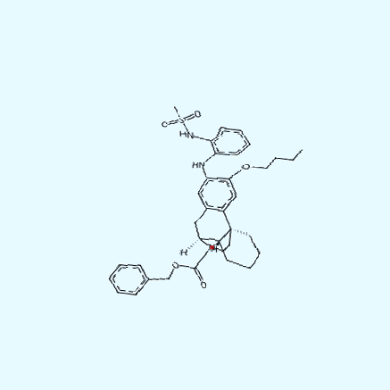 CCCCOc1cc2c(cc1Nc1ccccc1NS(C)(=O)=O)C[C@H]1[C@H]3CCCC[C@@]23CCN1C(=O)OCc1ccccc1